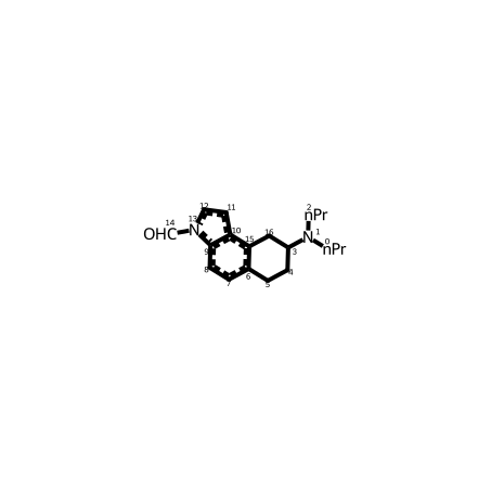 CCCN(CCC)C1CCc2ccc3c(ccn3C=O)c2C1